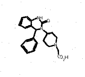 O=C(O)CN1CCC(N2C(=O)Nc3ccccc3C2c2ccccc2)CC1